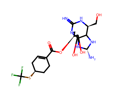 N=C1N[C@@H](CO)C2N[C@H](N)NC23N1C[C@H](OC(=O)C1=CC[C@H](SC(F)(F)F)CC1)C3(O)O